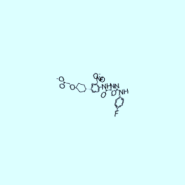 COC(=O)CO[C@H]1CC[C@H](c2ccc(NC(=O)c3nnc(Nc4ccc(F)cc4)o3)c([N+](=O)[O-])c2)CC1